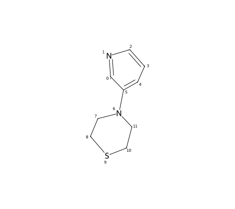 [c]1ncccc1N1CCSCC1